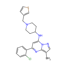 Bc1cnn2c(NC3CCN(Cc4ccsc4)CC3)cc(-c3ccccc3Cl)nc12